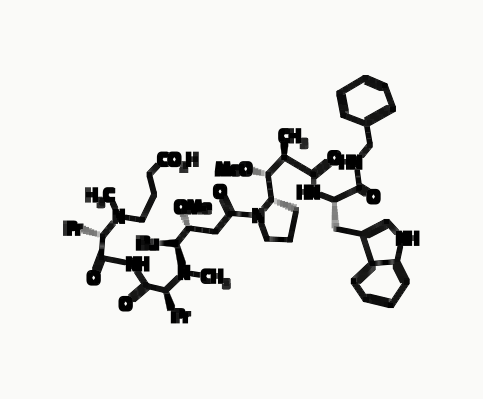 CC[C@H](C)[C@@H]([C@@H](CC(=O)N1CCC[C@H]1[C@H](OC)[C@@H](C)C(=O)N[C@@H](Cc1c[nH]c2ccccc12)C(=O)NCc1ccccc1)OC)N(C)[C@H](C(=O)NC(=O)[C@H](C(C)C)N(C)CCCC(=O)O)C(C)C